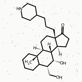 C[C@]12CCCCC1[C@@H](CO)[C@@H](O)[C@H]1[C@@H]3CCC(=O)[C@@]3(CCCC3CCNCC3)CC[C@@H]12